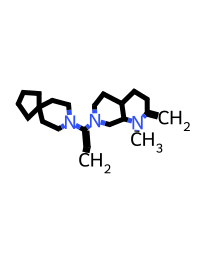 C=C=C(N1CCC2(CCCC2)CC1)N1CCC2CCC(=C)N(C)C2C1